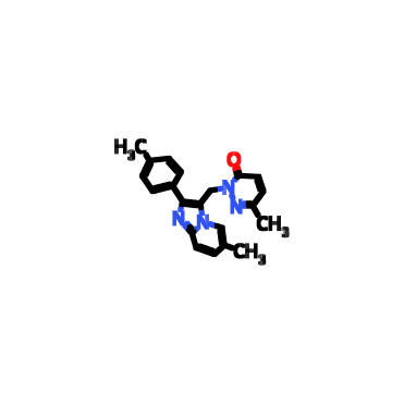 Cc1ccc(-c2nc3ccc(C)cn3c2Cn2nc(C)ccc2=O)cc1